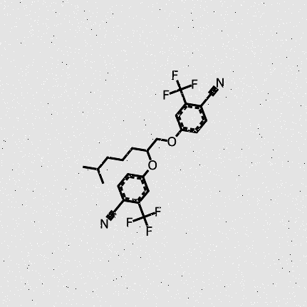 CC(C)CCCC(COc1ccc(C#N)c(C(F)(F)F)c1)Oc1ccc(C#N)c(C(F)(F)F)c1